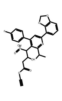 C#COC(=O)CC(O)C(c1c(-c2ccc(F)cc2)cc(-c2cccc3c2OCO3)nc1C(C)C)[PH](=O)O